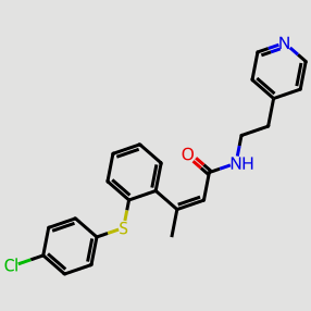 CC(=CC(=O)NCCc1ccncc1)c1ccccc1Sc1ccc(Cl)cc1